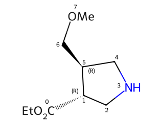 CCOC(=O)[C@H]1CNC[C@@H]1COC